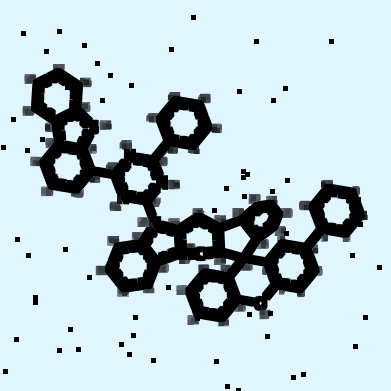 c1ccc(-c2ccc3c(c2)C2(c4ccccc4O3)c3ccccc3-c3cc4c(cc32)c2ccccc2n4-c2nc(-c3ccccc3)nc(-c3cccc4c3sc3ccccc34)n2)cc1